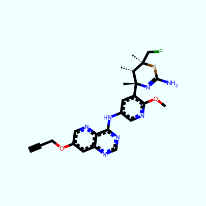 C#CCOc1cnc2c(Nc3cnc(OC)c([C@@]4(C)N=C(N)S[C@](C)(CF)[C@H]4C)c3)ncnc2c1